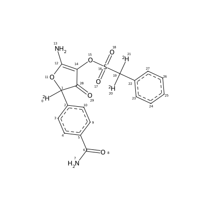 [2H]C1(c2ccc(C(N)=O)cc2)OC(N)=C(OS(=O)(=O)C([2H])([2H])c2ccccc2)C1=O